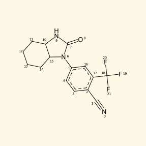 N#Cc1ccc(N2C(=O)NC3CCCCC32)cc1C(F)(F)F